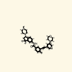 CN1CCN([C@H]2CC(F)(F)c3cc(NC(=O)c4ccc(F)c(C#Cc5cncc(N6CCOCC6)c5)c4)ccc32)CC1